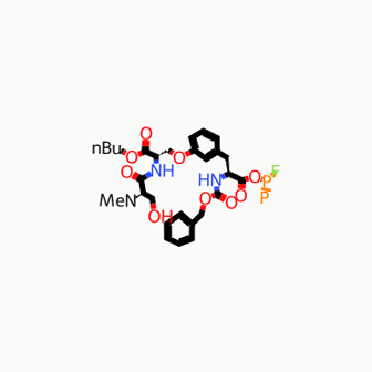 CCCCOC(=O)[C@H](COc1cccc(C[C@H](NC(=O)OCc2ccccc2)C(=O)OP(F)#P)c1)NC(=O)[C@H](CO)NC